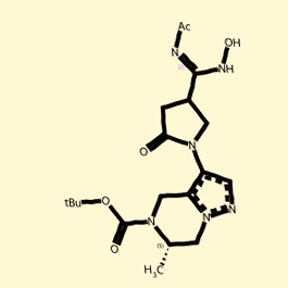 CC(=O)/N=C(\NO)C1CC(=O)N(c2cnn3c2CN(C(=O)OC(C)(C)C)[C@@H](C)C3)C1